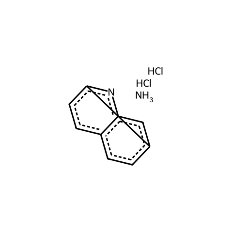 Cl.Cl.N.c1cc2ccc3nc2cc1-3